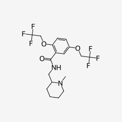 CN1CCCCC1CNC(=O)c1cc(OCC(F)(F)F)ccc1OCC(F)(F)F